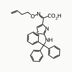 C=CCCO/N=C(/C(=O)O)c1csc(NC(c2ccccc2)(c2ccccc2)c2ccccc2)n1